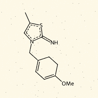 COC1=CC=C(Cn2cc(C)sc2=N)CC1